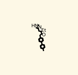 CCC(Cc1c[nH]cn1)C(=O)Cc1ccc(-c2ccc(C)cc2)cc1